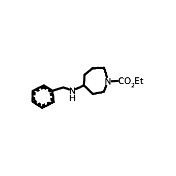 CCOC(=O)N1CCCC(NCc2ccccc2)CC1